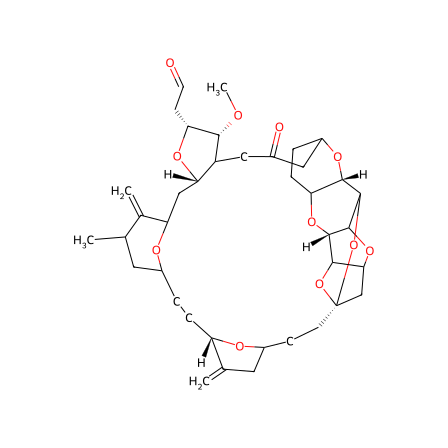 C=C1C(C)CC2CC[C@@H]3OC(CC[C@@]45CC6OC7C(O4)[C@H]4OC(CCC4O[C@H]7C6O5)CC(=O)CC4[C@H](CC1O2)O[C@H](CC=O)[C@@H]4OC)CC3=C